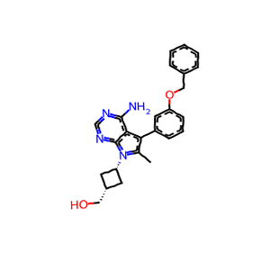 Cc1c(-c2cccc(OCc3ccccc3)c2)c2c(N)ncnc2n1[C@H]1C[C@@H](CO)C1